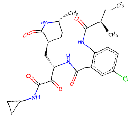 C[C@@H]1C[C@@H](C[C@H](NC(=O)c2cc(Cl)ccc2NC(=O)[C@H](C)CC(F)(F)F)C(=O)C(=O)NC2CC2)C(=O)N1